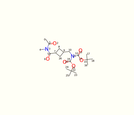 CC(=O)N(C)C(=O)C1CC(CN(C(=O)OC(C)(C)C)C(=O)OC(C)(C)C)C1